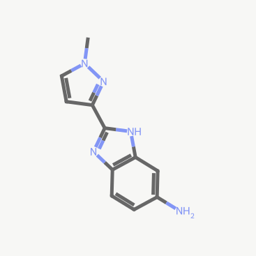 Cn1ccc(-c2nc3ccc(N)cc3[nH]2)n1